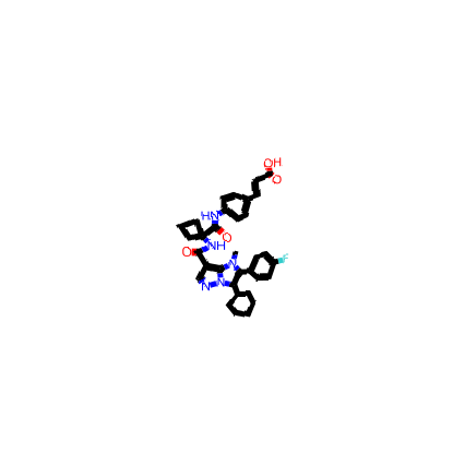 Cn1c(-c2ccc(F)cc2)c(C2CCCCC2)n2ncc(C(=O)NC3(C(=O)Nc4ccc(C=CC(=O)O)cc4)CCC3)c12